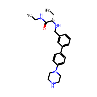 CC(C)C[C@H](NCc1cccc(-c2ccc(N3CCNCC3)cc2)c1)C(=O)NCC#N